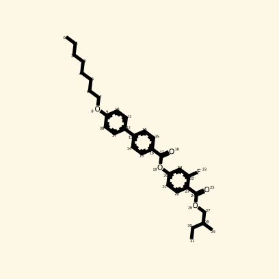 CCCCCCCCOc1ccc(-c2ccc(C(=O)Oc3ccc(C(=O)OCC(C)CC)c(F)c3)cc2)cc1